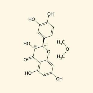 COC.O=C1c2c(O)cc(O)cc2O[C@H](c2ccc(O)c(O)c2)[C@H]1O